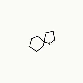 C1CC2(CC[N]1)SCCS2